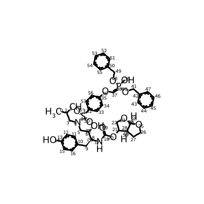 CC(C)CN(C[C@@H](O)[C@H](Cc1ccc(O)cc1)NC(=O)OC1CO[C@H]2OCC[C@@H]12)S(=O)(=O)c1ccc(OC=P(O)(OCc2ccccc2)OCc2ccccc2)cc1